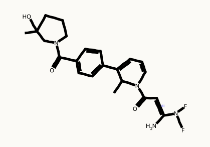 CC1C(c2ccc(C(=O)N3CCCC(C)(O)C3)cc2)=CC=CN1C(=O)/C=C(\N)N(F)F